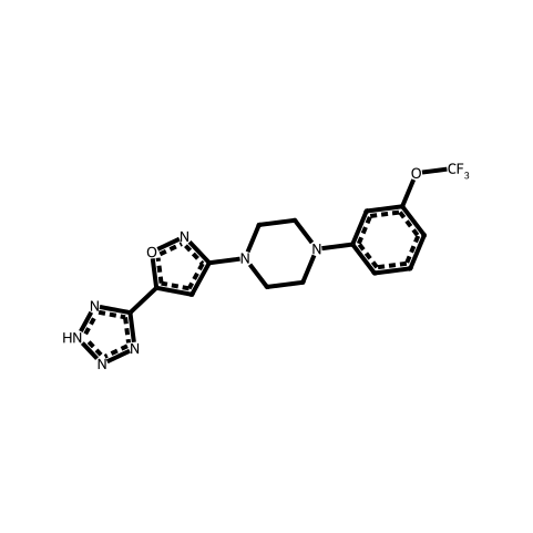 FC(F)(F)Oc1cccc(N2CCN(c3cc(-c4nn[nH]n4)on3)CC2)c1